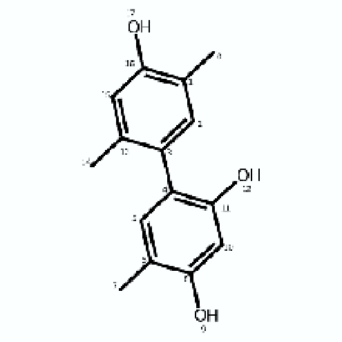 Cc1cc(-c2cc(C)c(O)cc2O)c(C)cc1O